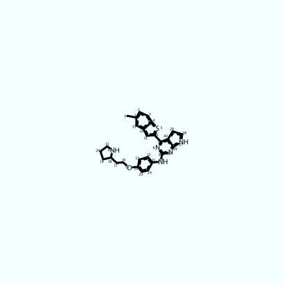 Cc1ccc2sc(-c3nc(Nc4ccc(OCCC5CCCN5)cc4)nc4[nH]ccc34)cc2c1